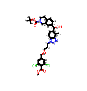 COC(=O)c1c(Cl)cc(COCCCn2nnc3c(C)c(C(O)c4ccc5c(c4)CN(C(=O)OC(C)(C)C)CC5)ccc32)cc1Cl